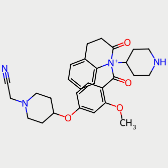 COc1cc(OC2CCN(CC#N)CC2)ccc1C(=O)[N+]1(C2CCNCC2)C(=O)CCc2ccccc21